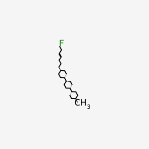 C[C@H]1CC[C@H]([C@H]2CC[C@H]([C@H]3CC[C@H](CCCC=CCCF)CC3)CC2)CC1